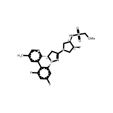 COCS(=O)(=O)N[C@@H]1CN(C2=NO[C@H](c3ncc(C)cc3-c3c(F)cc(F)cc3F)C2)C[C@@H]1F